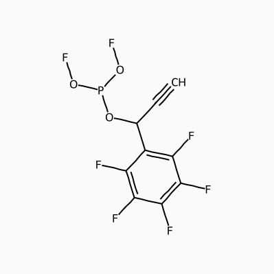 C#CC(OP(OF)OF)c1c(F)c(F)c(F)c(F)c1F